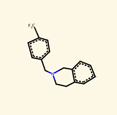 FC(F)(F)c1ccc(CN2CCc3c[c]ccc3C2)cc1